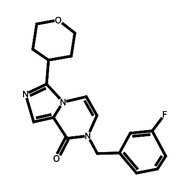 O=c1c2cnc(C3CCOCC3)n2ccn1Cc1cccc(F)c1